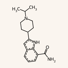 CC(C)N1CCC(c2cc3cccc(C(N)=O)c3[nH]2)CC1